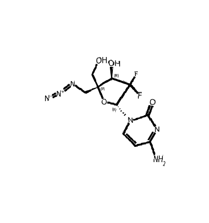 [N-]=[N+]=NC[C@]1(CO)O[C@@H](n2ccc(N)nc2=O)C(F)(F)[C@@H]1O